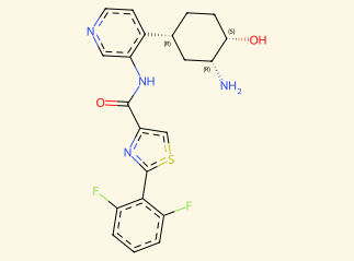 N[C@@H]1C[C@H](c2ccncc2NC(=O)c2csc(-c3c(F)cccc3F)n2)CC[C@@H]1O